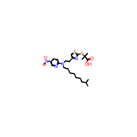 CC(C)CCCCCCCN(CCc1csc(SC(C)(C)C(=O)O)n1)c1ccc([N+](=O)[O-])cn1